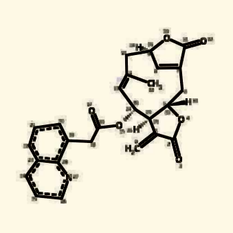 C=C1C(=O)O[C@H]2CC3=C[C@@H](C/C(C)=C/[C@@H](OC(=O)Cc4cccc5cccnc45)[C@H]12)OC3=O